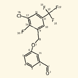 O=Cc1cccc(OCc2cc(C(F)(F)F)cc(Cl)c2F)c1